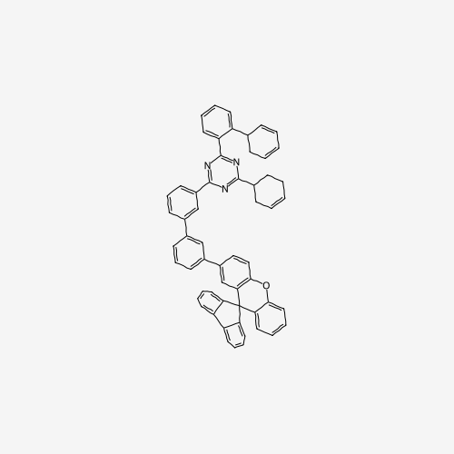 C1=CCC(c2ccccc2-c2nc(-c3cccc(-c4cccc(-c5ccc6c(c5)C5(c7ccccc7O6)c6ccccc6-c6ccccc65)c4)c3)nc(C3CC=CCC3)n2)C=C1